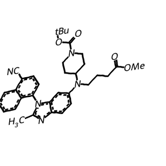 COC(=O)CCCN(c1ccc2nc(C)n(-c3ccc(C#N)c4ccccc34)c2c1)C1CCN(C(=O)OC(C)(C)C)CC1